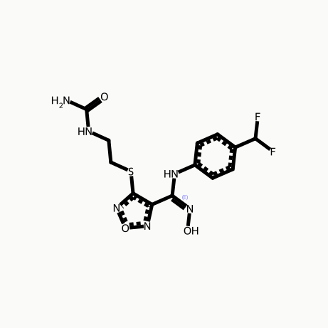 NC(=O)NCCSc1nonc1/C(=N\O)Nc1ccc(C(F)F)cc1